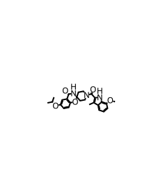 COc1cccc2c(C)c(C(=O)N3CCC4(CC3)NC(=O)c3cc(OC(C)C)ccc3O4)[nH]c12